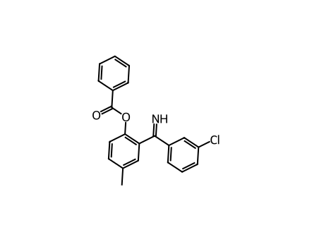 Cc1ccc(OC(=O)c2ccccc2)c(C(=N)c2cccc(Cl)c2)c1